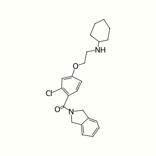 O=C(c1ccc(OCCNC2CCCCC2)cc1Cl)N1Cc2ccccc2C1